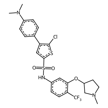 CN1CCC(Oc2cc(NS(=O)(=O)c3cc(-c4ccc(N(C)C)cc4)c(Cl)s3)ccc2C(F)(F)F)C1